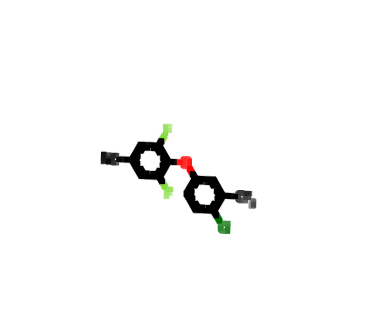 N#Cc1cc(F)c(Oc2ccc(Cl)c(C(F)(F)F)c2)c(F)c1